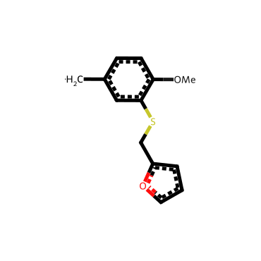 [CH2]c1ccc(OC)c(SCc2ccco2)c1